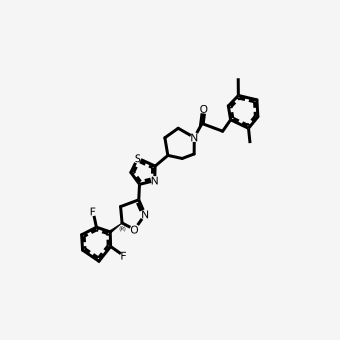 Cc1ccc(C)c(CC(=O)N2CCC(c3nc(C4=NO[C@@H](c5c(F)cccc5F)C4)cs3)CC2)c1